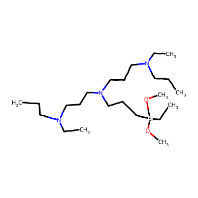 CCCN(CC)CCCN(CCCN(CC)CCC)CCC[Si](CC)(OC)OC